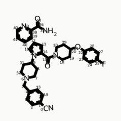 N#Cc1ccc(CN2CCC(n3cccc3C(=O)N3CCC(Oc4ccc(F)cc4)CC3)CC2)cc1.NC(=O)c1ccccn1